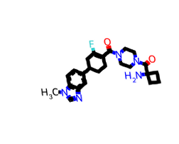 Cn1cnc2cc(C3CCC(C(=O)N4CCN(C(=O)C5(N)CCC5)CC4)=C(F)C3)ccc21